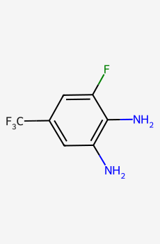 Nc1cc(C(F)(F)F)cc(F)c1N